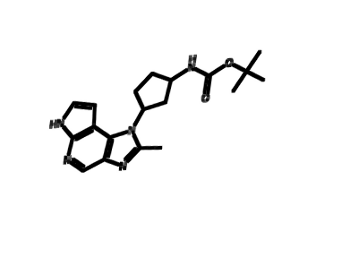 Cc1nc2cnc3[nH]ccc3c2n1C1CCC(NC(=O)OC(C)(C)C)C1